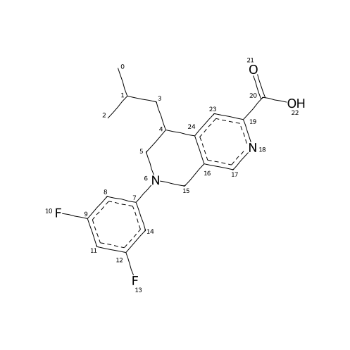 CC(C)CC1CN(c2cc(F)cc(F)c2)Cc2cnc(C(=O)O)cc21